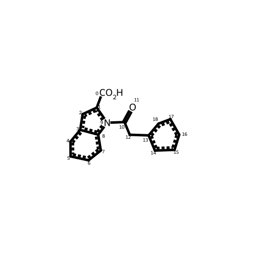 O=C(O)c1cc2ccccc2n1C(=O)Cc1ccccc1